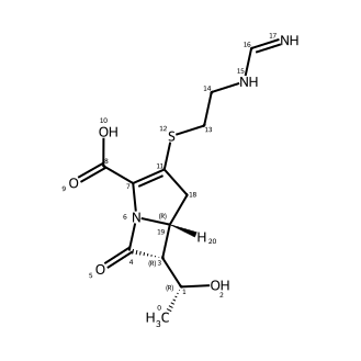 C[C@@H](O)[C@@H]1C(=O)N2C(C(=O)O)=C(SCCNC=N)C[C@H]12